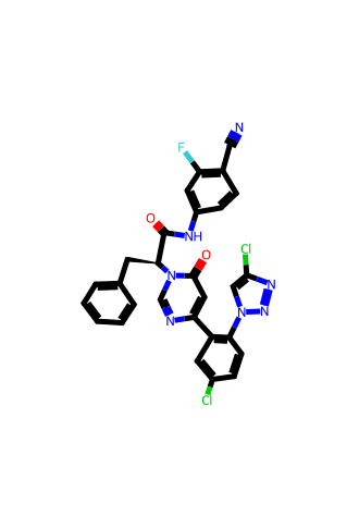 N#Cc1ccc(NC(=O)[C@H](Cc2ccccc2)n2cnc(-c3cc(Cl)ccc3-n3cc(Cl)nn3)cc2=O)cc1F